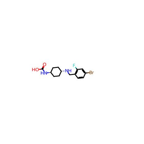 O=C(O)N[C@H]1CC[C@H](NCc2ccc(Br)cc2F)CC1